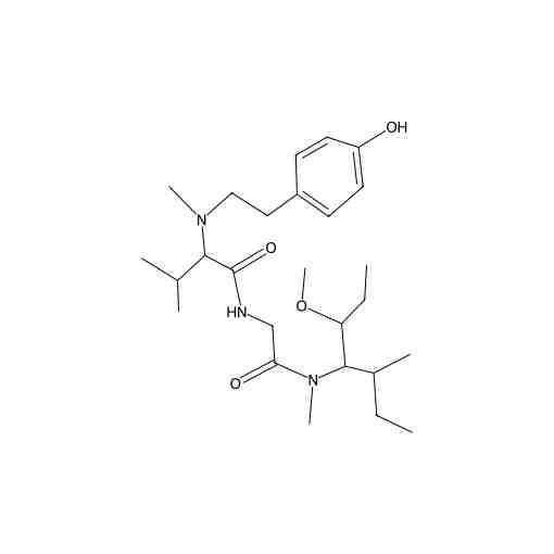 CCC(C)C(C(CC)OC)N(C)C(=O)CNC(=O)C(C(C)C)N(C)CCc1ccc(O)cc1